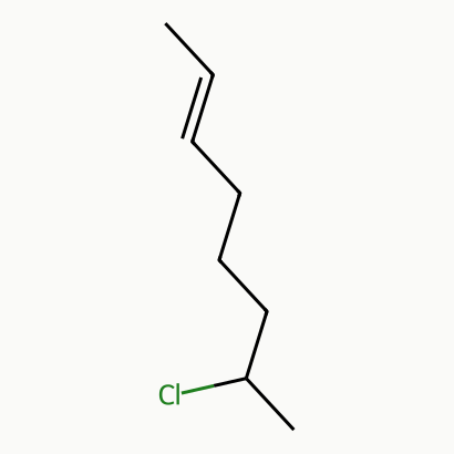 CC=CCCCC(C)Cl